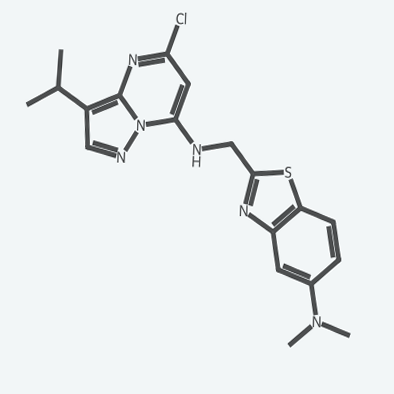 CC(C)c1cnn2c(NCc3nc4cc(N(C)C)ccc4s3)cc(Cl)nc12